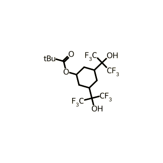 CC(C)(C)C(=O)OC1CC(C(O)(C(F)(F)F)C(F)(F)F)CC(C(O)(C(F)(F)F)C(F)(F)F)C1